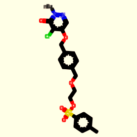 CCCCn1ncc(OCc2ccc(COCCOS(=O)(=O)c3ccc(C)cc3)cc2)c(Cl)c1=O